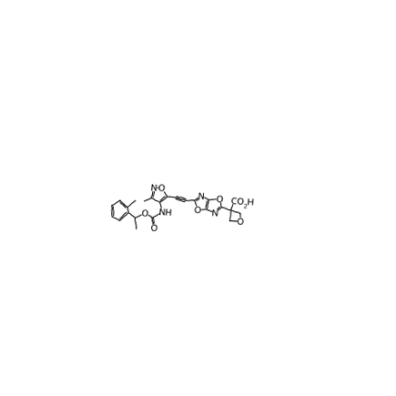 Cc1ccccc1C(C)OC(=O)Nc1c(C)noc1C#Cc1nc2oc(C3(C(=O)O)COC3)nc2o1